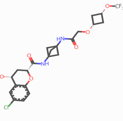 O=C(CO[C@H]1C[C@@H](OC(F)(F)F)C1)NC12CC(NC(=O)[C@H]3C[C@@H](O)c4cc(Cl)ccc4O3)(C1)C2